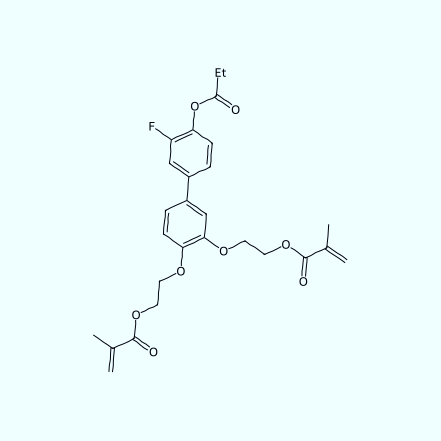 C=C(C)C(=O)OCCOc1ccc(-c2ccc(OC(=O)CC)c(F)c2)cc1OCCOC(=O)C(=C)C